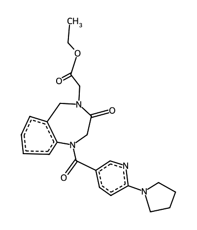 CCOC(=O)CN1Cc2ccccc2N(C(=O)c2ccc(N3CCCC3)nc2)CC1=O